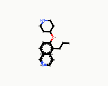 CCCc1c(OC2CCNCC2)ccc2cnccc12